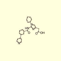 O=C(O)Cc1cn(-c2ccccc2)c(NC(=O)c2cccc(-c3ccncc3)c2)n1